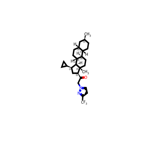 C[C@H]1CC[C@H]2[C@H](CC[C@@H]3[C@@H]2CC[C@@]2(C)[C@H]3[C@H](C3CC3)C[C@@H]2C(=O)Cn2ccc(C(F)(F)F)n2)C1